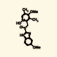 COc1ccc2[nH]c([S+]([O-])Cc3c(C)c(OC)c(C)c[n+]3O)nc2c1